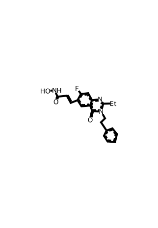 CCc1nc2cc(F)c(/C=C/C(=O)NO)cc2c(=O)n1CCc1ccccc1